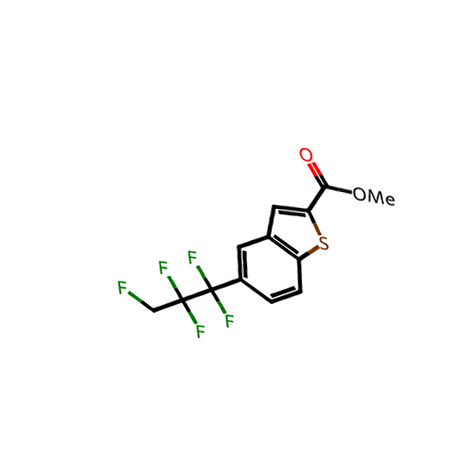 COC(=O)c1cc2cc(C(F)(F)C(F)(F)CF)ccc2s1